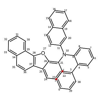 c1ccc(-c2ccccc2N(c2ccc3ccccc3c2)c2cccc3c2oc2c4ccccc4ccc32)cc1